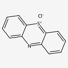 [Cl-].c1ccc2[s+]c3ccccc3nc2c1